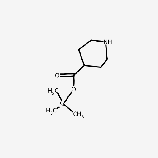 C[Si](C)(C)OC(=O)C1CCNCC1